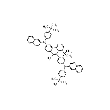 Cc1c2c3c(cccc3c3cc(N(c4ccc(C(C)(C)C)cc4)c4ccc5ccccc5c4)ccc13)C(C)(C)c1cc(N(c3ccc(C(C)(C)C)cc3)c3ccc4ccccc4c3)ccc1-2